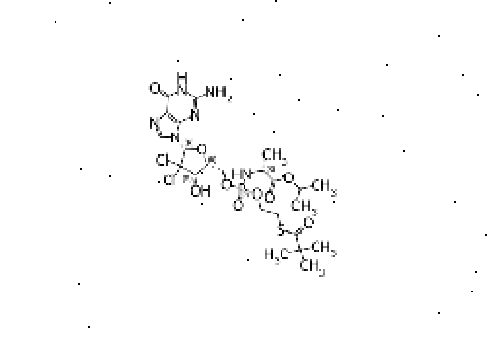 CC(C)OC(=O)[C@@H](C)N[P@](=O)(OCCSC(=O)C(C)(C)C)OC[C@H]1O[C@@H](n2cnc3c(=O)[nH]c(N)nc32)C(Cl)(Cl)[C@@H]1O